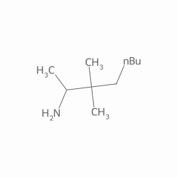 CCCCCC(C)(C)C(C)N